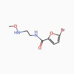 CONCCNC(=O)c1ccc(Br)o1